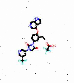 CCc1cc(N2C(=O)CN(c3cncc(C(F)(F)F)c3)C2=O)ccc1Oc1cncc2[nH]ccc12.O=C(O)C(F)(F)F